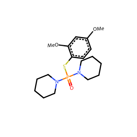 COc1ccc(SP(=O)(N2CCCCC2)N2CCCCC2)c(OC)c1